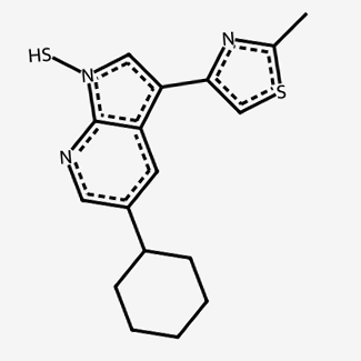 Cc1nc(-c2cn(S)c3ncc(C4CCCCC4)cc23)cs1